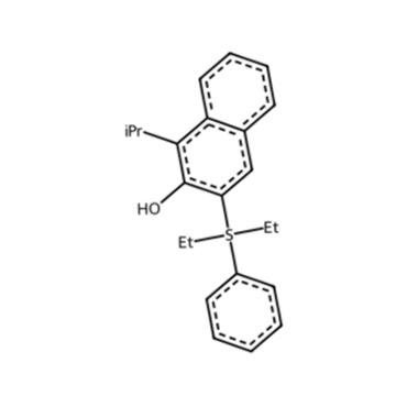 CCS(CC)(c1ccccc1)c1cc2ccccc2c(C(C)C)c1O